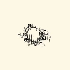 C=C1C/C=C/c2cnc3ccc(cc3c2)[C@@H](C)OC(=O)[C@@H]2CCCN(N2)C(=O)[C@H](C)NC(=O)[C@H](C(C)C)N1